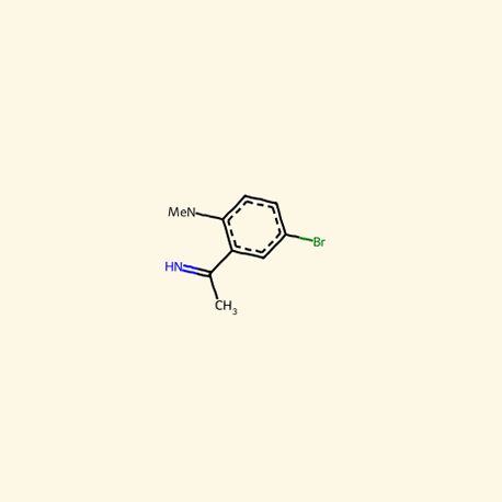 CNc1ccc(Br)cc1C(C)=N